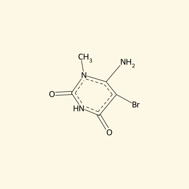 Cn1c(N)c(Br)c(=O)[nH]c1=O